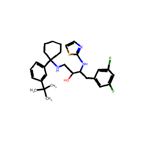 CC(C)(C)c1cccc(C2(NCC(O)C(Cc3cc(F)cc(F)c3)Nc3nccs3)CCCCC2)c1